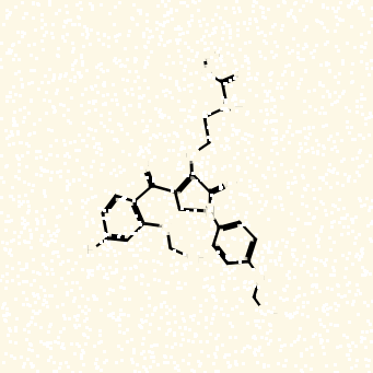 CC(C)(C)OC(=O)NCCOC1=C(C(=O)c2ccc(F)cc2OCC(F)(F)F)CN(c2ccc(OCC(F)(F)F)cc2)C1=O